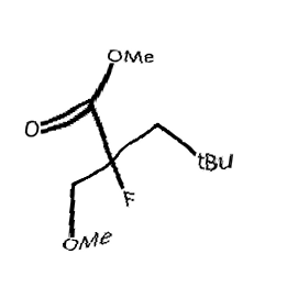 COCC(F)(CC(C)(C)C)C(=O)OC